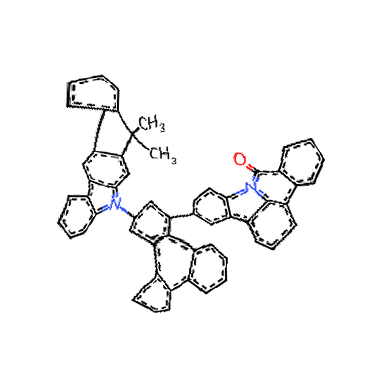 CC1(C)c2ccccc2-c2cc3c4ccccc4n(-c4cc(-c5ccc6c(c5)c5cccc7c8ccccc8c(=O)n6c75)c5c6ccccc6c6ccccc6c5c4)c3cc21